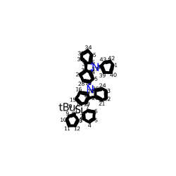 CC(C)(C)[Si](c1ccccc1)(c1ccccc1)c1ccc2c(c1)c1ccccc1n2-c1ccc2c3ccccc3n(-c3ccccc3)c2c1